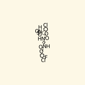 CS(=O)(=O)N[C@@H]1C[C@@H](C(=O)NC23CC(NC(=O)COc4ccc(Cl)c(F)c4)(C2)C3)Oc2ccc(Cl)cc21